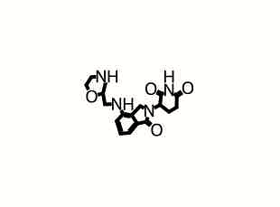 O=C1CCC(N2Cc3c(NCC4CNCCO4)cccc3C2=O)C(=O)N1